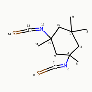 CC1(C)CC(C)(N=C=S)CC(C)(N=C=S)C1